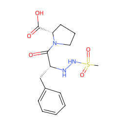 CS(=O)(=O)NN[C@H](Cc1ccccc1)C(=O)N1CCC[C@H]1C(=O)O